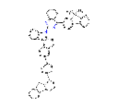 CC1(C)c2ccccc2-c2ccc(-c3nc(-n4c5ccccc5c5c6ccc(-c7ccc(-c8cccc9c8Cc8ccccc8-9)cc7)cc6ccc54)nc4ccccc34)cc21